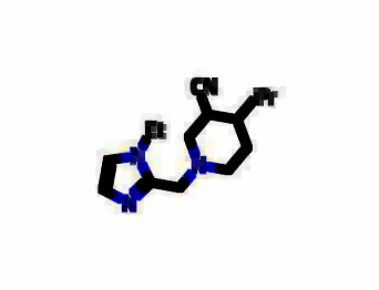 CCn1ccnc1CN1CCC(C(C)C)C(C#N)C1